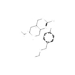 NC1=N[C@@]2(c3cc(CNCC(F)(F)F)ccc3F)CO[C@@H](CF)C[C@H]2CS1